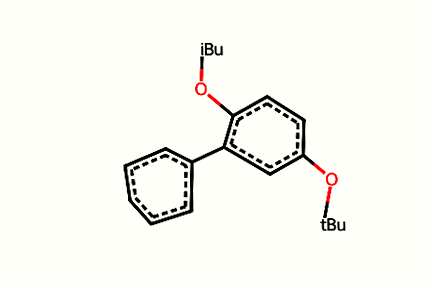 CCC(C)Oc1ccc(OC(C)(C)C)cc1-c1ccccc1